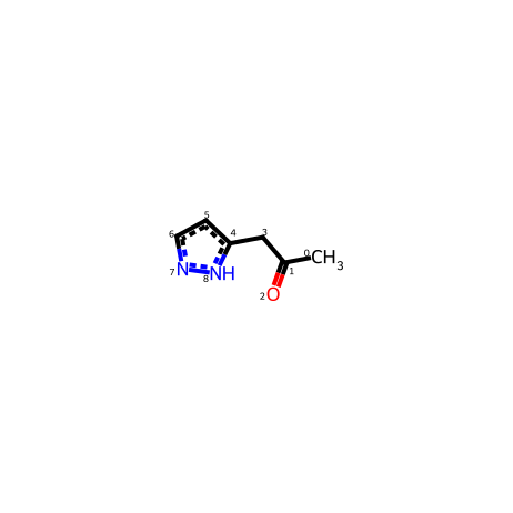 CC(=O)Cc1ccn[nH]1